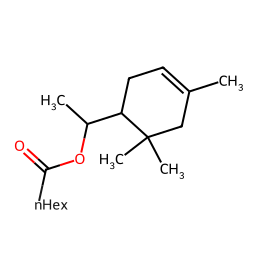 CCCCCCC(=O)OC(C)C1CC=C(C)CC1(C)C